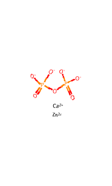 O=P([O-])([O-])OP(=O)([O-])[O-].[Ca+2].[Zn+2]